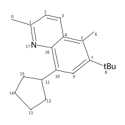 Cc1ccc2c(C)c(C(C)(C)C)cc(C3CCCC3)c2n1